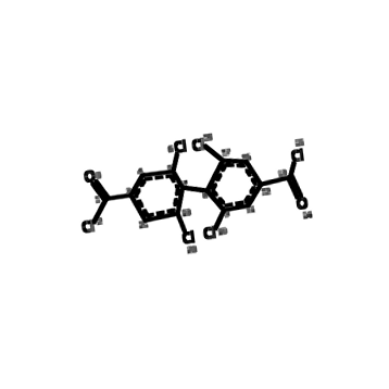 O=C(Cl)c1cc(Cl)c(-c2c(Cl)cc(C(=O)Cl)cc2Cl)c(Cl)c1